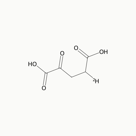 [2H]C(CC(=O)C(=O)O)C(=O)O